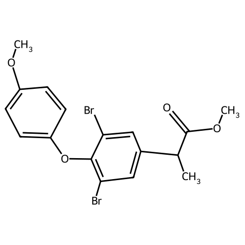 COC(=O)C(C)c1cc(Br)c(Oc2ccc(OC)cc2)c(Br)c1